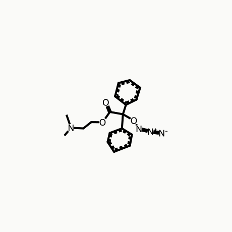 CN(C)CCOC(=O)C(ON=[N+]=[N-])(c1ccccc1)c1ccccc1